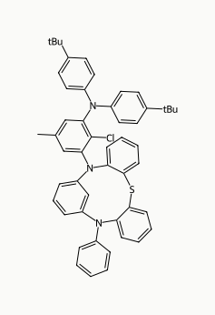 Cc1cc(N(c2ccc(C(C)(C)C)cc2)c2ccc(C(C)(C)C)cc2)c(Cl)c(N2c3cccc(c3)N(c3ccccc3)c3ccccc3Sc3ccccc32)c1